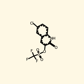 O=c1[nH]c2ccc(Cl)cc2cc1OS(=O)(=O)C(F)(F)F